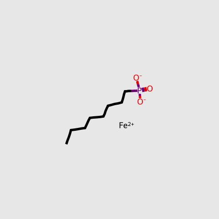 CCCCCCCCP(=O)([O-])[O-].[Fe+2]